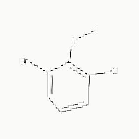 Clc1cccc(Br)c1SI